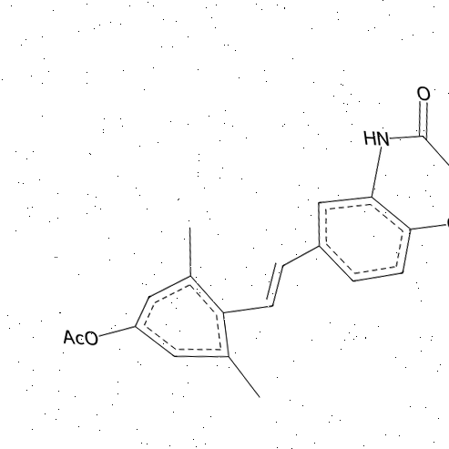 CC(=O)Oc1cc(C)c(/C=C/c2ccc3c(c2)NC(=O)CO3)c(C)c1